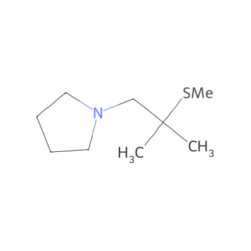 CSC(C)(C)CN1CCCC1